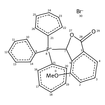 COc1cccc2c1C([P+](c1ccccc1)(c1ccccc1)c1ccccc1)OC2=O.[Br-]